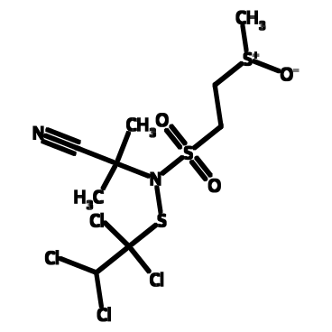 C[S+]([O-])CCS(=O)(=O)N(SC(Cl)(Cl)C(Cl)Cl)C(C)(C)C#N